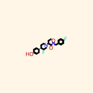 O=C1C(N2CC[C@@H](C3C=CC(O)=CC3)[C@H](F)C2)CCON1Cc1ccc(F)cc1